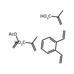 C=C(C)C(=O)O.C=C(C)C(=O)O.C=COC(C)=O.C=Cc1ccccc1C=C